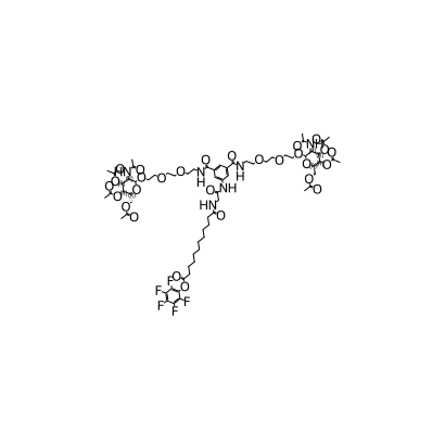 CC(=O)N[C@H]1C(OCCOCCOCCNC(=O)c2cc(NC(=O)CNC(=O)CCCCCCCCCCC(=O)Oc3c(F)c(F)c(F)c(F)c3F)cc(C(=O)NCCOCCOCCOC3O[C@H](COC(C)=O)[C@H](OC(C)=O)[C@H](OC(C)=O)[C@H]3NC(C)=O)c2)O[C@H](COC(C)=O)[C@H](OC(C)=O)[C@@H]1OC(C)=O